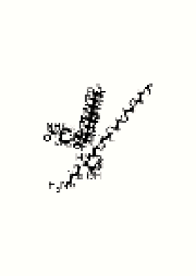 COCCOCCOCCOCCOCC(=O)N[C@@H](CCCCN)C(=O)O.NC(=O)N1CCN(S(=O)(=O)C(F)(F)C(F)(F)C(F)(F)C(F)(F)C(F)(F)C(F)(F)C(F)(F)C(F)(F)F)CC1